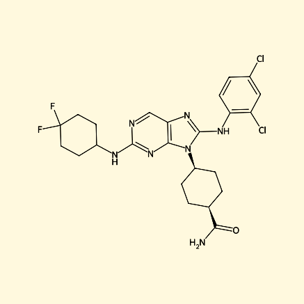 NC(=O)[C@H]1CC[C@@H](n2c(Nc3ccc(Cl)cc3Cl)nc3cnc(NC4CCC(F)(F)CC4)nc32)CC1